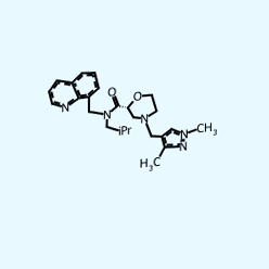 Cc1nn(C)cc1CN1CCO[C@@H](C(=O)N(Cc2cccc3cccnc23)CC(C)C)C1